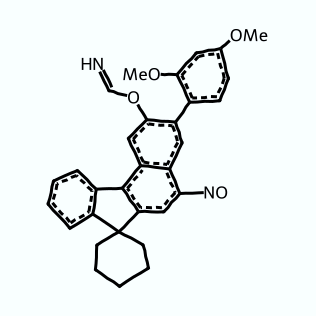 COc1ccc(-c2cc3c(N=O)cc4c(c3cc2OC=N)-c2ccccc2C42CCCCC2)c(OC)c1